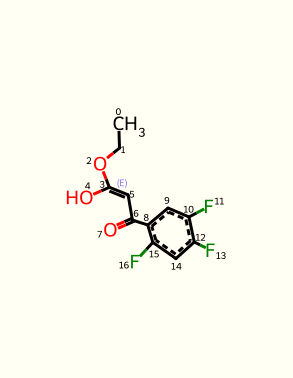 CCO/C(O)=C/C(=O)c1cc(F)c(F)cc1F